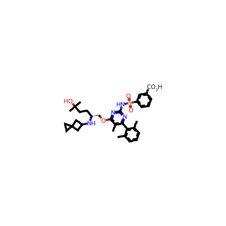 Cc1cccc(C)c1-c1nc(NS(=O)(=O)c2cccc(C(=O)O)c2)nc(OC[C@@H](CCC(C)(C)O)NC2CC3(CC3)C2)c1C